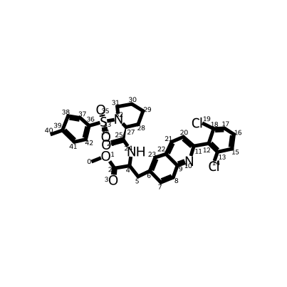 COC(=O)C(Cc1ccc2nc(-c3c(Cl)cccc3Cl)ccc2c1)NC(=O)[C@@H]1CCCCN1S(=O)(=O)c1ccc(C)cc1